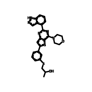 CC(O)CSc1cccc(-c2cc3nc(-c4cccc5[nH]ncc45)nc(N4CCOCC4)c3s2)c1